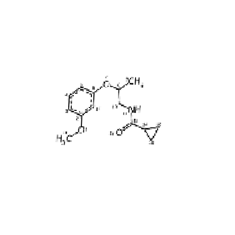 COc1cccc(OC(C)CNC(=O)C2CC2)c1